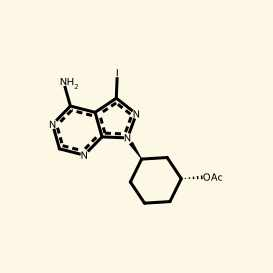 CC(=O)O[C@@H]1CCC[C@@H](n2nc(I)c3c(N)ncnc32)C1